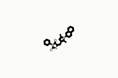 Cc1cc(C=C2SC(=O)N(c3ccccc3)C2=O)c(C)n1-c1ccc2ccccc2c1